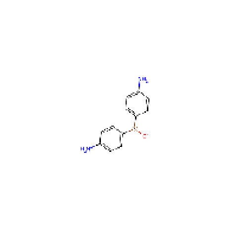 Nc1ccc([S+]([O-])c2ccc(N)cc2)cc1